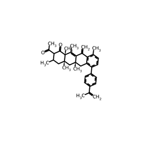 C=C(C)c1ccc(-c2ccc(C)c3c2C[C@]2(C)C[C@]4(C)CC(C)C(C(C)=O)C(=O)[C@]4(C)C(C)=C2C3=C)cc1